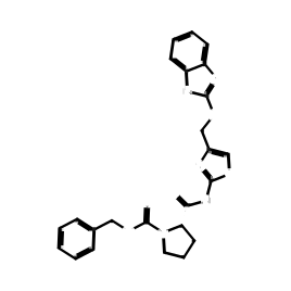 O=C(Nc1nc(CSc2nc3ccccc3[nH]2)cs1)[C@@H]1CCCN1C(=O)OCc1ccccc1